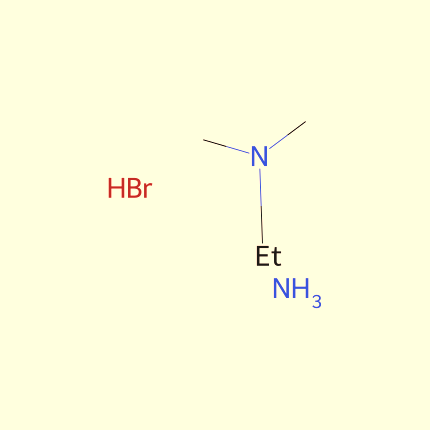 Br.CCN(C)C.N